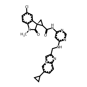 CN1C(=O)[C@]2(CC2C(=O)Nc2cc(NCc3cn4cc(C5CC5)ccc4n3)ncn2)c2cc(Cl)ccc21